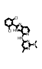 Cc1cc(Nc2nccc3nc(-c4c(Cl)cccc4Cl)[nH]c23)nc(N(C)C)n1